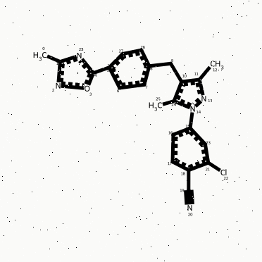 Cc1noc(-c2ccc(Cc3c(C)nn(-c4ccc(C#N)c(Cl)c4)c3C)cc2)n1